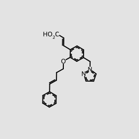 O=C(O)C=Cc1ccc(Cn2cccn2)cc1OCCC=Cc1ccccc1